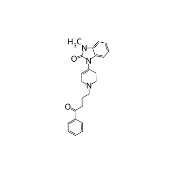 Cn1c(=O)n(C2=CCN(CCCC(=O)c3ccccc3)CC2)c2ccccc21